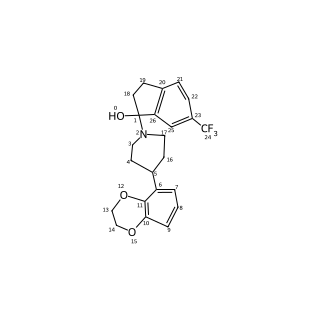 OC1(N2CCC(c3cccc4c3OCCO4)CC2)CCc2ccc(C(F)(F)F)cc21